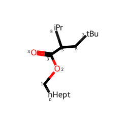 CCCCCCCCOC(=O)C(CC(C)(C)C)C(C)C